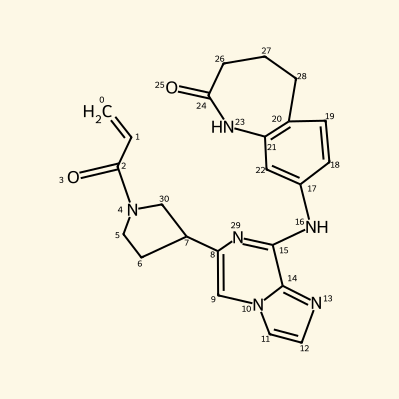 C=CC(=O)N1CCC(c2cn3ccnc3c(Nc3ccc4c(c3)NC(=O)CCC4)n2)C1